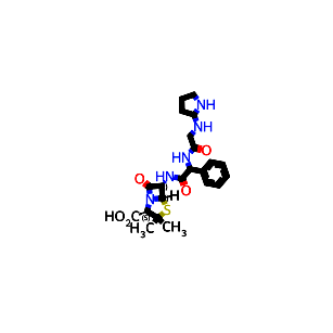 CC1(C)S[C@@H]2[C@H](NC(=O)C(NC(=O)CNC3CCCN3)c3ccccc3)C(=O)N2[C@H]1C(=O)O